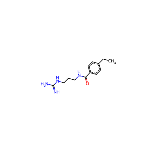 CCc1ccc(C(=O)NCCCNC(=N)N)cc1